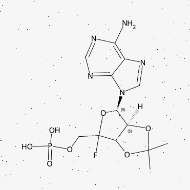 CC1(C)OC2[C@H](O1)[C@H](n1cnc3c(N)ncnc31)OC2(F)COP(=O)(O)O